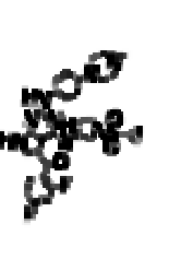 CN1CCN(c2ccc(Nc3nc(N[C@H]4CCN(S(=O)(=O)C5CC5)C4)c4c(C(=O)c5ccc(F)cc5F)c[nH]c4n3)cc2)CC1